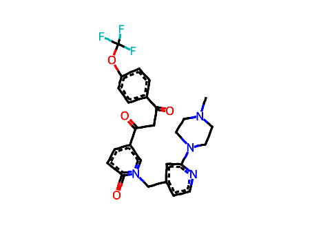 CN1CCN(c2cc(Cn3cc(C(=O)CC(=O)c4ccc(OC(F)(F)F)cc4)ccc3=O)ccn2)CC1